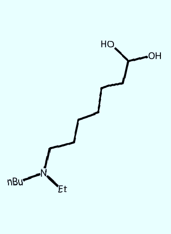 CCCCN(CC)CCCCCCC(O)O